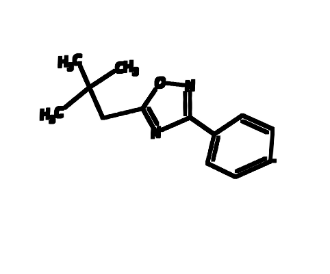 CC(C)(C)Cc1nc(-c2cc[c]cc2)no1